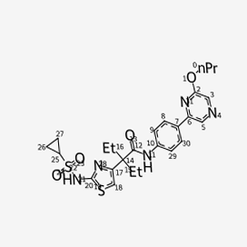 CCCOc1cncc(-c2ccc(NC(=O)C(CC)(CC)c3csc(NS(=O)(=O)C4CC4)n3)cc2)n1